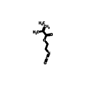 C.C=C(C)C(=O)OCCN=C=O